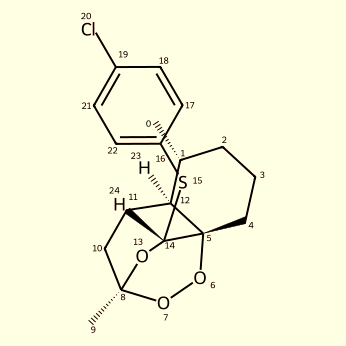 C[C@@H]1CCC[C@]23OO[C@@](C)(CC[C@@H]12)O[C@@H]3Sc1ccc(Cl)cc1